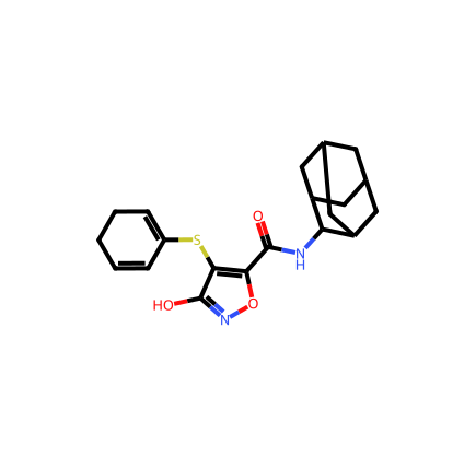 O=C(NC1C2CC3CC(C2)CC1C3)c1onc(O)c1SC1=CCCC=C1